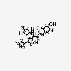 CCc1cc(O)c(F)cc1/N=C(\N)c1cnn2cc(-c3cnn(C)c3)cc2c1N[C@@H]1CNC(=O)C1